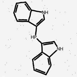 c1ccc2c(Pc3c[nH]c4ccccc34)c[nH]c2c1